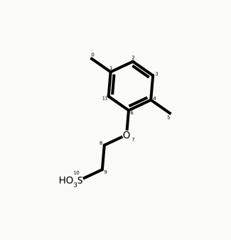 Cc1ccc(C)c(OCCS(=O)(=O)O)c1